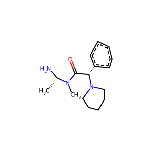 C[C@H](N)N(C)C(=O)[C@H](c1ccccc1)N1CCCCC1